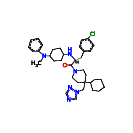 CN(c1ccccc1)C1CCC(N[C@H](Cc2ccc(Cl)cc2)C(=O)N2CCC(Cn3cncn3)(C3CCCCC3)CC2)CC1